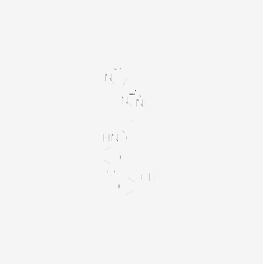 Cc1cccc(Oc2ccc(NC(=O)CSc3nc(-c4cccnc4)n[nH]3)cc2)c1